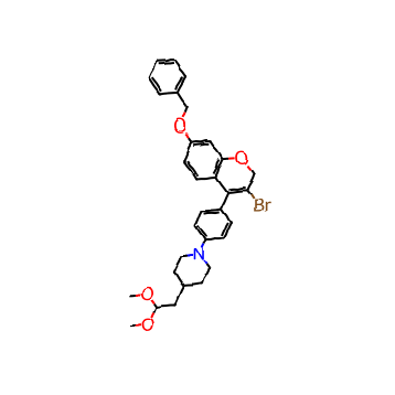 COC(CC1CCN(c2ccc(C3=C(Br)COc4cc(OCc5ccccc5)ccc43)cc2)CC1)OC